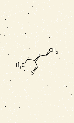 C=CC=C(C=S)CC